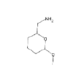 COC1CCCC(CN)O1